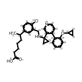 CC(CCCCC(=O)O)c1ccc(Cl)c(CNC2(c3cnccc3-c3ccccc3OC3CC3)CC2)c1